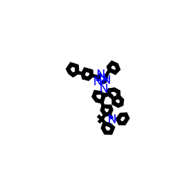 CC1(C)c2ccccc2N(c2ccccc2)c2ccc(-c3cccc4c3c3c5ccccc5ccc3n4-c3nc(-c4ccccc4)nc(-c4ccc(-c5ccccc5)cc4)n3)cc21